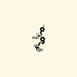 CC(CO)(CO)NCCn1ccc2ccc(N(CCc3ccc(F)cc3)C(=O)OC(C)(C)C)cc21